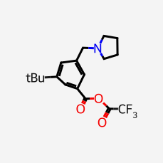 CC(C)(C)c1cc(CN2CCCC2)cc(C(=O)OC(=O)C(F)(F)F)c1